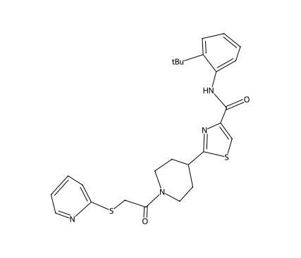 CC(C)(C)c1ccccc1NC(=O)c1csc(C2CCN(C(=O)CSc3ccccn3)CC2)n1